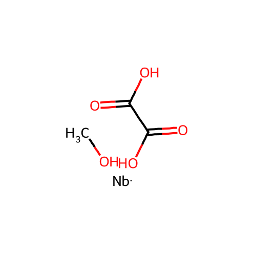 CO.O=C(O)C(=O)O.[Nb]